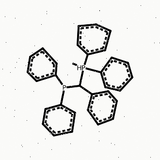 C[PH](c1ccccc1)(c1ccccc1)C(c1ccccc1)P(c1ccccc1)c1ccccc1